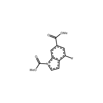 COC(=O)c1cc(F)c2ccn(C(=O)OC)c2c1